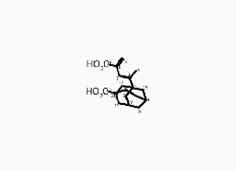 C=C(CC(C)C12CC3CC(CC(C(=O)O)(C3)C1)C2)C(=O)O